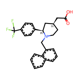 O=C(O)C[C@H]1CCN(Cc2cccc3ccccc23)[C@@H](c2ccc(C(F)(F)F)cc2)C1